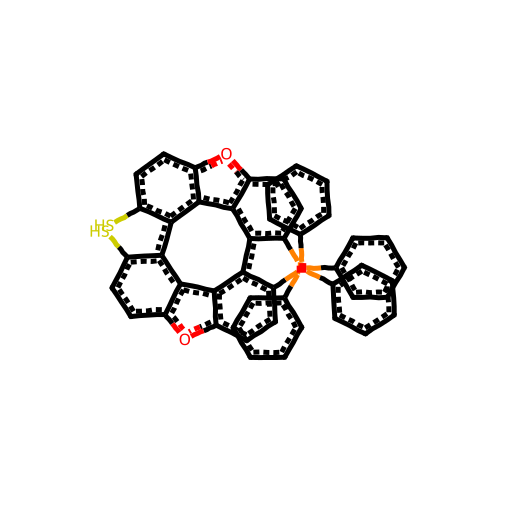 Sc1ccc2oc3ccc(P(c4ccccc4)c4ccccc4)c4c5c(P(c6ccccc6)c6ccccc6)ccc6oc7ccc(S)c(c1c2c34)c7c65